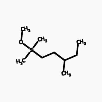 CCC(C)CC[Si](C)(C)OC